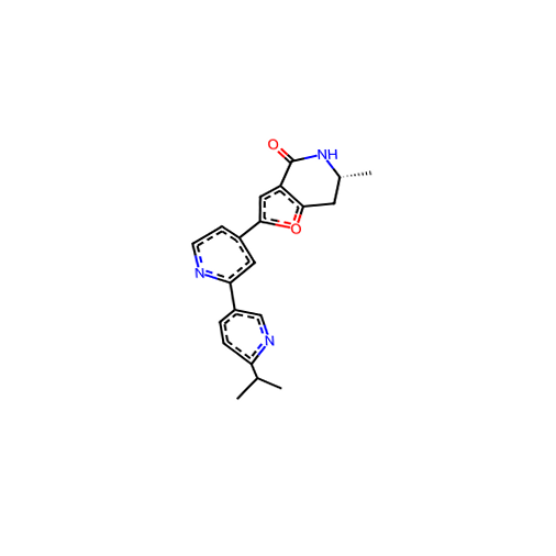 CC(C)c1ccc(-c2cc(-c3cc4c(o3)C[C@@H](C)NC4=O)ccn2)cn1